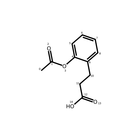 CC(=O)Oc1ccccc1CCC(=O)O